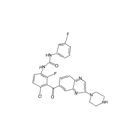 O=C(Nc1cccc(F)c1)Nc1ccc(Cl)c(C(=O)c2ccc3ncc(N4CCNCC4)nc3c2)c1F